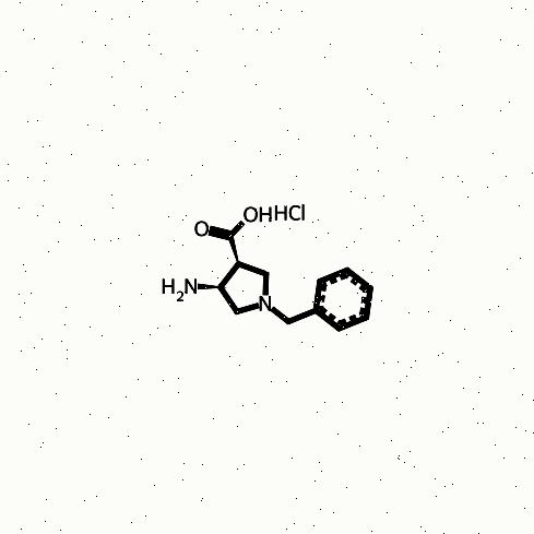 Cl.N[C@@H]1CN(Cc2ccccc2)C[C@@H]1C(=O)O